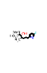 CN[C@H](C(=O)O)[C@H](O)[C@H](C)CCCc1ccc(F)cn1